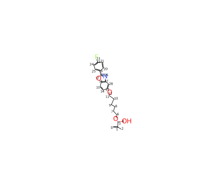 C=C(C)C(O)OCCCCCCOc1ccc2oc(-c3ccc(F)cc3)nc2c1